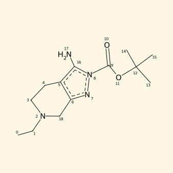 CCN1CCc2c(nn(C(=O)OC(C)(C)C)c2N)C1